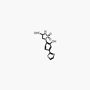 O=CC1CN(c2ccc(-c3nccs3)cc2O)S(=O)(=O)N1